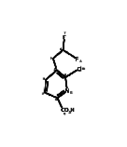 O=C(O)c1ccc(CC(F)F)c(Cl)n1